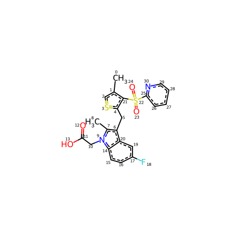 Cc1csc(Cc2c(C)n(CC(=O)O)c3ccc(F)cc23)c1S(=O)(=O)c1ccccn1